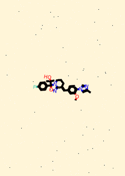 COc1cc(C=C2CCCN3C2=NOC3(c2ccc(F)cc2)C(C)(C)O)ccc1-n1cnc(C)c1